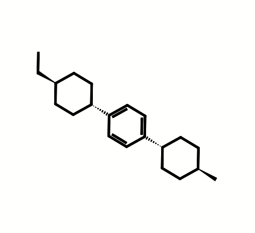 CC[C@H]1CC[C@H](c2ccc([C@H]3CC[C@H](C)CC3)cc2)CC1